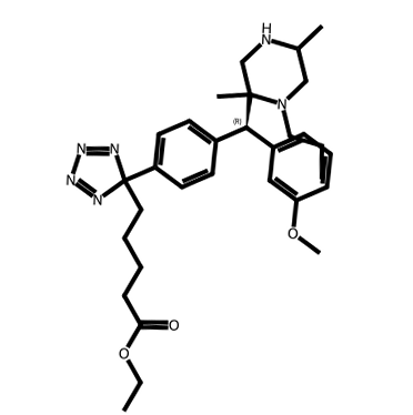 CCCN1CC(C)NCC1(C)[C@H](c1ccc(C2(CCCCC(=O)OCC)N=NN=N2)cc1)c1cccc(OC)c1